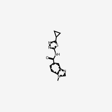 Cn1cnc2cc(C(=O)Nc3nnc(C4CC4)s3)ccc21